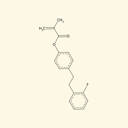 C=C(C)C(=O)Oc1ccc(CCc2ccccc2F)cc1